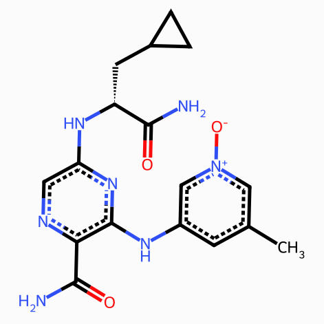 Cc1cc(Nc2nc(N[C@H](CC3CC3)C(N)=O)cnc2C(N)=O)c[n+]([O-])c1